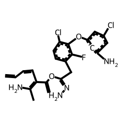 C=C/C=C\C(C(=C)O/C(Cc1ccc(Cl)c(Oc2cc(N)cc(Cl)c2)c1F)=N\N)=C(\C)N